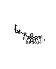 CC/N=C1\C=CC2C(Oc3c(ccc(NCC)c3S(=O)(=O)O)C2C2CC=CC=C2C(=O)N(C)CCCC(=O)NCCNC(=O)C2=CC(OCC=S)=CCC2)C1S(=O)(=O)O